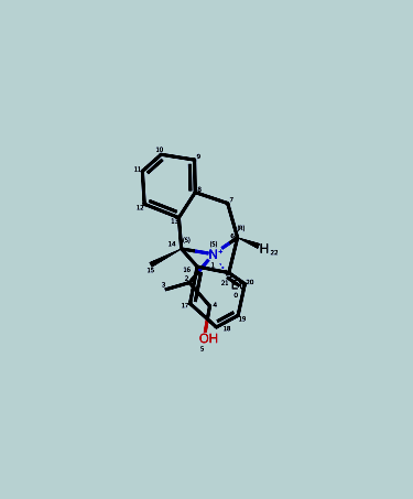 CC[N@@+]1(C(C)CO)[C@@H]2Cc3ccccc3[C@@]1(C)c1ccccc12